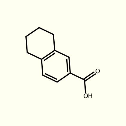 O=C(O)c1ccc2c(c1)CCCC2